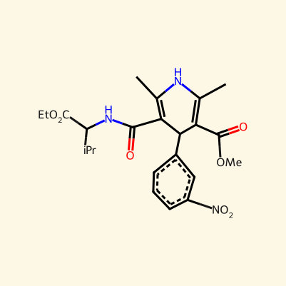 CCOC(=O)C(NC(=O)C1=C(C)NC(C)=C(C(=O)OC)C1c1cccc([N+](=O)[O-])c1)C(C)C